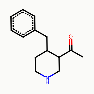 CC(=O)C1CNCCC1Cc1ccccc1